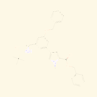 C[C@@H](N[S@@+]([O-])C(C)(C)C)c1cc(OCc2ccccc2)cc(-c2cc(C(=O)OCc3ccccc3)n(C)c2)c1